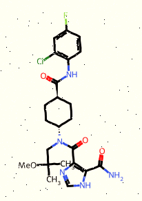 COC(C)(C)CN(C(=O)c1nc[nH]c1C(N)=O)[C@H]1CC[C@H](C(=O)Nc2ccc(F)cc2Cl)CC1